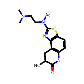 CC(=O)N(CCN(C)C)c1nc2c3c(ccc2s1)NC(=O)C(C#N)C3